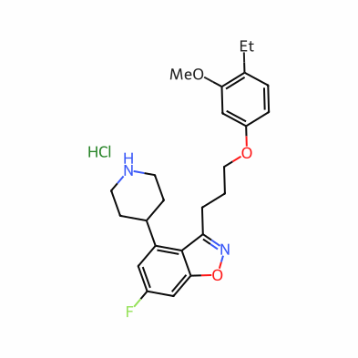 CCc1ccc(OCCCc2noc3cc(F)cc(C4CCNCC4)c23)cc1OC.Cl